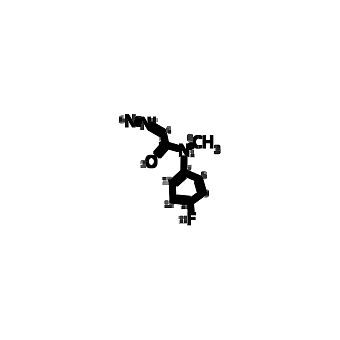 CN(C(=O)C=[N+]=[N-])c1ccc(F)cc1